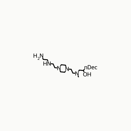 CCCCCCCCCCC(O)CN(C)CCN1CCN(CCNCCN)CC1